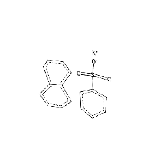 O=S(=O)([O-])c1ccccc1.[K+].c1ccc2ccccc2c1